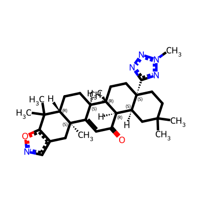 Cn1nnc([C@]23CCC(C)(C)C[C@H]2[C@H]2C(=O)C=C4[C@@]5(C)Cc6cnoc6C(C)(C)[C@@H]5CC[C@@]4(C)[C@]2(C)CC3)n1